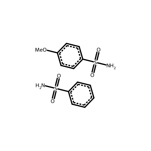 COc1ccc(S(N)(=O)=O)cc1.NS(=O)(=O)c1ccccc1